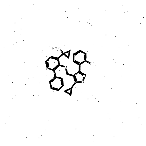 O=C(O)C1(c2cccc(-c3ccccc3)c2OCc2c(-c3ccccc3C(F)(F)F)noc2C2CC2)CC1